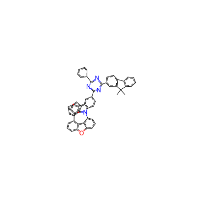 CC1(C)c2ccccc2-c2ccc(-c3nc(-c4ccccc4)nc(-c4ccc5c(c4)c4ccccc4n5-c4cccc5oc6cccc(-c7ccccc7)c6c45)n3)cc21